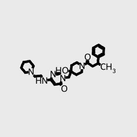 CC(CC(=O)N1CCC(O)(Cn2cnc(NCCN3CCCCC3)cc2=O)CC1)c1ccccc1